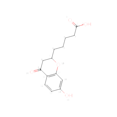 O=C(O)CCCCC1CC(=O)c2ccc(O)cc2O1